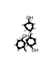 Cc1ccc(O)cc1.Cc1cccc(O)c1.Oc1ccccc1